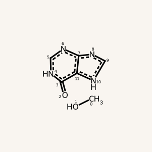 CO.O=c1[nH]cnc2nc[nH]c12